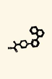 CN(C(=O)O)C1CCN(c2cccc(-c3cccc4ccccc34)n2)CC1